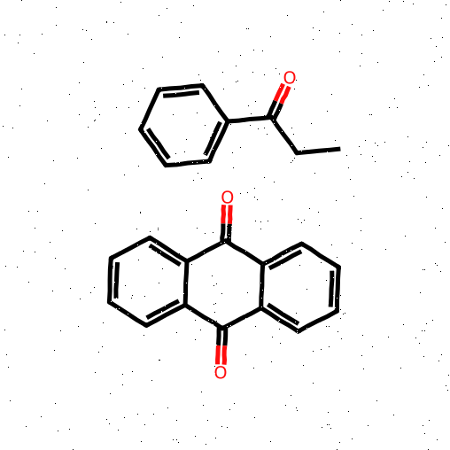 CCC(=O)c1ccccc1.O=C1c2ccccc2C(=O)c2ccccc21